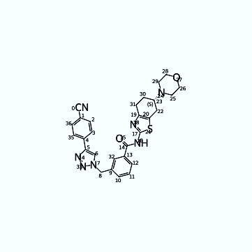 N#Cc1ccc(-c2cn(Cc3cccc(C(=O)Nc4nc5c(s4)C[C@@H](N4CCOCC4)CC5)c3)nn2)cc1